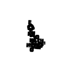 Cc1scnc1[C@@]1(CNC(=O)c2cnn(-c3ccc(F)cc3)n2)NC(=O)NC1=O